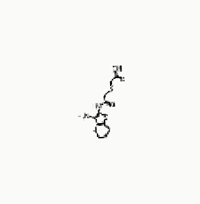 Nc1c(NC(=O)CSCC(=O)O)sc2c1CCCC2